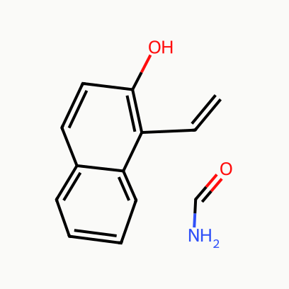 C=Cc1c(O)ccc2ccccc12.NC=O